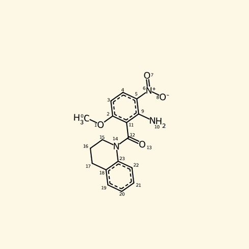 COc1ccc([N+](=O)[O-])c(N)c1C(=O)N1CCCc2ccccc21